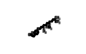 CC(C)=CCC/C(C)=C/C(O)C/C(C)=C/COc1ccc2ccc(=O)oc2c1